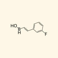 OB/C=C/c1cccc(F)c1